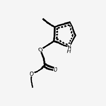 COC(=O)Oc1[nH]ccc1C